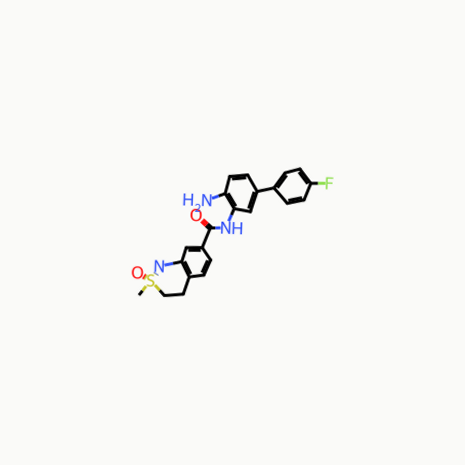 CS1(=O)=Nc2cc(C(=O)Nc3cc(-c4ccc(F)cc4)ccc3N)ccc2CC1